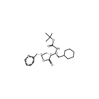 CC(C)(C)OC(=O)N[C@@H](CC1CCCCC1)[C@H]1C[C@@H](Cc2ccccn2)OC1=O